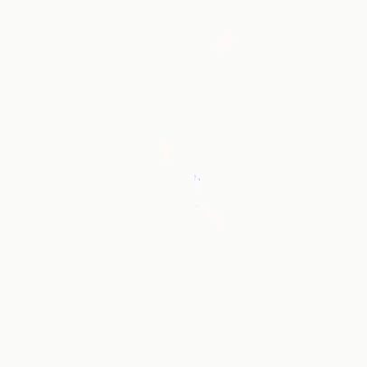 CCCCC(C)C1C(=O)N(CC2CCC(C=O)CC2)C(=O)C1C